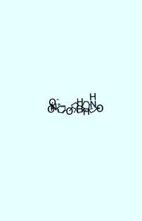 C[C@]12CCC(=O)NC1CC[C@@H]1[C@H]2CC[C@]2(C)C(Oc3ccc([N+](=O)[O-])cc3)CC[C@@H]12